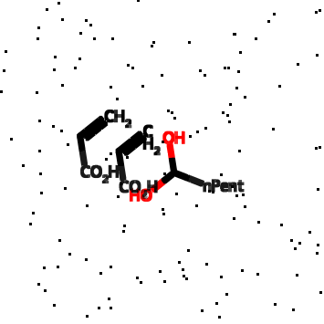 C=CC(=O)O.C=CC(=O)O.CCCCCC(O)O